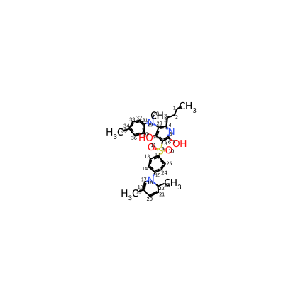 CCCCc1nc(O)c(S(=O)(=O)c2ccc(N3C=C(C)C=CC3C)cc2)c(O)c1N(C)c1ccc(C)cc1